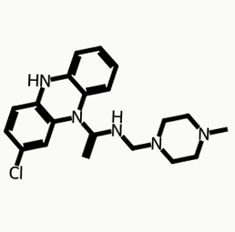 C=C(NCN1CCN(C)CC1)N1c2ccccc2Nc2ccc(Cl)cc21